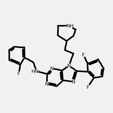 Fc1ccccc1CNc1ncc2nc(-c3c(F)cccc3F)n(CCC3CCNCC3)c2n1